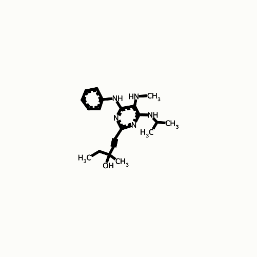 CCC(C)(O)C#Cc1nc(Nc2ccccc2)c(NC)c(NC(C)C)n1